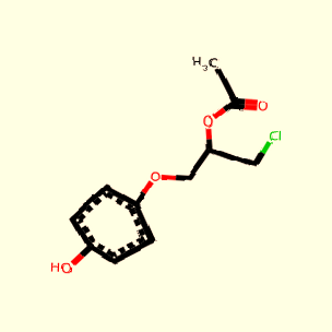 CC(=O)OC(CCl)COc1ccc(O)cc1